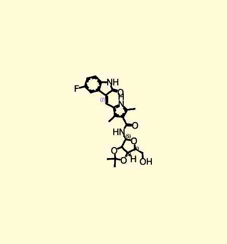 Cc1[nH]c(/C=C2\C(=O)Nc3ccc(F)cc32)c(C)c1C(=O)N[C@H]1O[C@@H](CO)[C@@H]2OC(C)(C)OC21